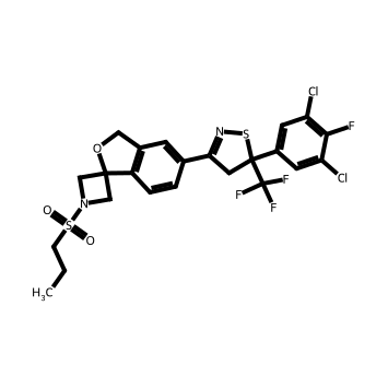 CCCS(=O)(=O)N1CC2(C1)OCc1cc(C3=NSC(c4cc(Cl)c(F)c(Cl)c4)(C(F)(F)F)C3)ccc12